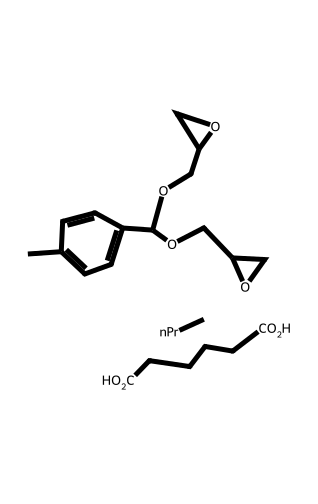 CCCC.Cc1ccc(C(OCC2CO2)OCC2CO2)cc1.O=C(O)CCCCC(=O)O